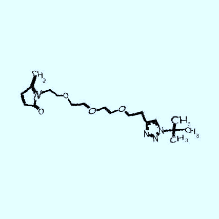 C=C1C=CC(=O)N1CCOCCOCCOCCc1cn(C(C)(C)C)nn1